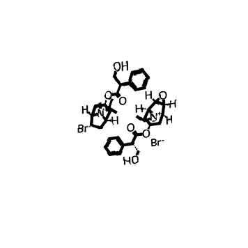 CC(C)[N+]1(C)[C@@H]2CC[C@H]1C[C@@H](OC(=O)C(CO)c1ccccc1)C2.CC[N+]1(C)[C@@H]2C[C@@H](OC(=O)[C@H](CO)c3ccccc3)C[C@H]1[C@@H]1O[C@@H]12.[Br-].[Br-]